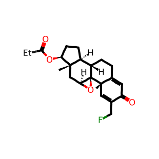 CCC(=O)O[C@H]1CC[C@H]2[C@@H]3CCC4=CC(=O)C(CF)=C[C@]4(C)[C@@]34O[C@H]4C[C@]12C